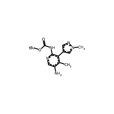 Cc1c(N)cnc(NC(=O)OC(C)(C)C)c1-c1cnn(C)c1